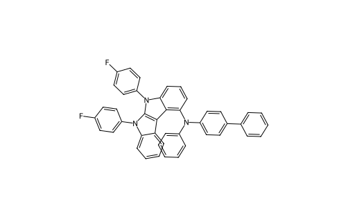 Fc1ccc(-n2c3ccccc3c3c4c(N(c5ccccc5)c5ccc(-c6ccccc6)cc5)cccc4n(-c4ccc(F)cc4)c32)cc1